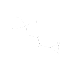 O[Si](O)(O)CCCC1CN1